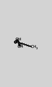 CCCCCCCCCCCCCC(CC(=O)O)n1cc(O)c2ccccc21